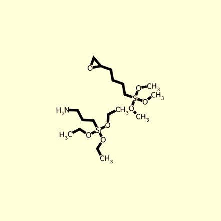 CCO[Si](CCCN)(OCC)OCC.CO[Si](CCCCC1CO1)(OC)OC